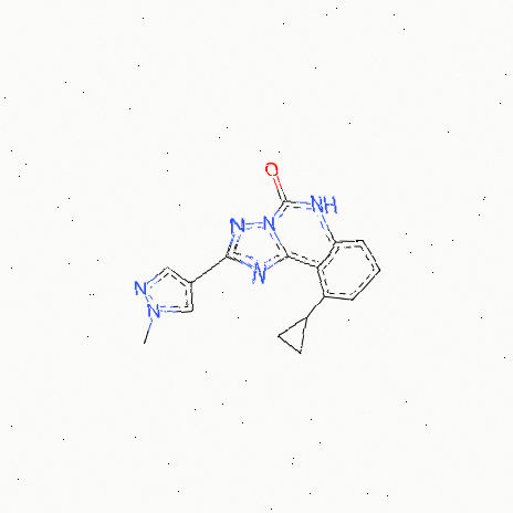 Cn1cc(-c2nc3c4c(C5CC5)cccc4[nH]c(=O)n3n2)cn1